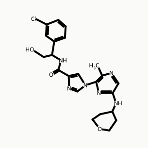 Cc1ncc(NC2CCOCC2)nc1-n1cnc(C(=O)NC(CO)c2cccc(Cl)c2)c1